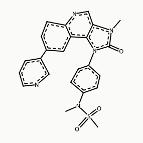 CN(c1ccc(-n2c(=O)n(C)c3cnc4ccc(-c5cccnc5)cc4c32)cc1)S(C)(=O)=O